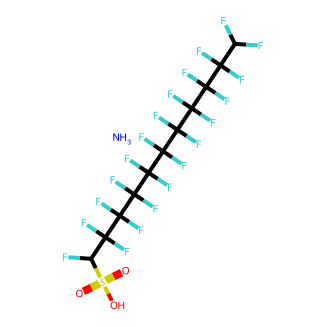 N.O=S(=O)(O)C(F)C(F)(F)C(F)(F)C(F)(F)C(F)(F)C(F)(F)C(F)(F)C(F)(F)C(F)(F)C(F)(F)C(F)F